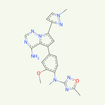 COc1cc(-c2cc(-c3ccn(C)n3)n3ncnc(N)c23)ccc1N(C)c1noc(C)n1